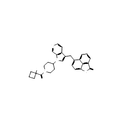 CC1(C(=O)N2CCC(n3cc(Cc4ccc5c6c(cccc46)C(=O)N5)c4ccncc43)CC2)CCC1